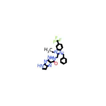 CCn1c(CNC(=O)c2nc3cc[nH]c3nc2N)[n+](Cc2ccccc2)c2ccc(C(F)(F)F)cc21